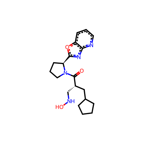 O=C([C@@H](CNO)CC1CCCC1)N1CCC[C@H]1c1nc2ncccc2o1